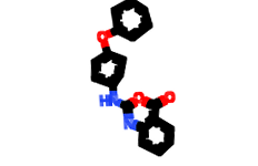 O=c1oc(Nc2ccc(Oc3ccccc3)cc2)nc2ccccc12